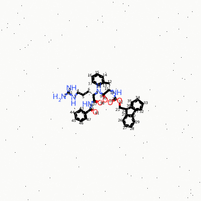 N=C(N)NCCC[C@H](NC(=O)[C@H](Cc1ccccc1)NC(=O)OCC1c2ccccc2-c2ccccc21)C(=O)NC(=O)c1ccccc1